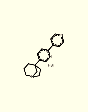 Br.c1cc(-c2ccc(C34CCCN(CC3)C4)cn2)ccn1